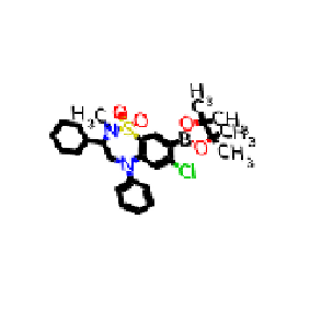 CN1C(C2CCCCC2)CN(c2ccccc2)c2cc(Cl)c(B3OC(C)(C)C(C)(C)O3)cc2S1(=O)=O